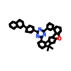 CC1(C)c2cc3oc4ccccc4c3cc2-c2c(-c3nc(-c4ccccc4)nc(-c4ccc(-c5ccc6ccccc6c5)cc4)n3)cccc21